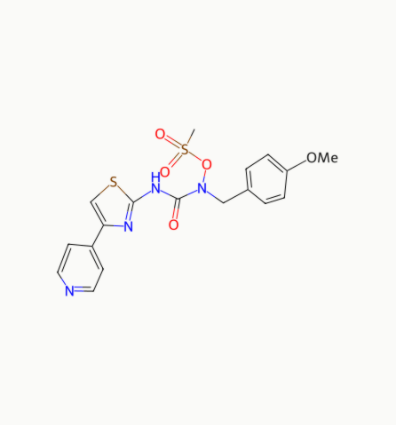 COc1ccc(CN(OS(C)(=O)=O)C(=O)Nc2nc(-c3ccncc3)cs2)cc1